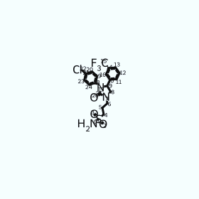 NS(=O)(=O)CCCN1CC(c2cccc(C(F)(F)F)c2)N(c2ccc(Cl)cc2)C1=O